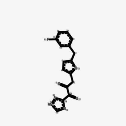 O=C(Cc1ccc(Cc2cccc(F)c2)o1)C(=O)c1nc[nH]n1